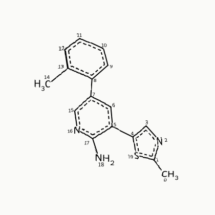 Cc1ncc(-c2cc(-c3ccccc3C)cnc2N)s1